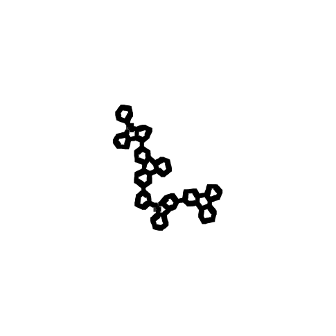 c1ccc(-n2c3ccccc3c3c(-c4ccc5c6ccc(-c7cccc(-n8c9ccccc9c9cc(-c%10ccc%11c%12ccccc%12c%12ccccc%12c%11c%10)ccc98)c7)cc6c6ccccc6c5c4)cccc32)cc1